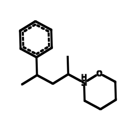 CC(CC(C)[SiH]1CCCCO1)c1ccccc1